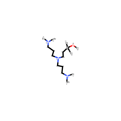 CCCN(CC)CCCN(CCCN(CC)CCC)CC[Si](CC)(CC)OCC